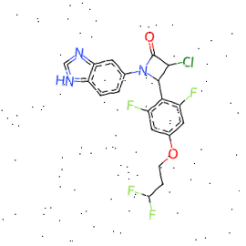 O=C1C(Cl)C(c2c(F)cc(OCCC(F)F)cc2F)N1c1ccc2[nH]cnc2c1